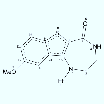 CCN1CCNC(=O)c2sc3ccc(OC)cc3c21